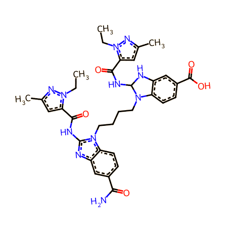 CCn1nc(C)cc1C(=O)Nc1nc2cc(C(N)=O)ccc2n1CCCCN1c2ccc(C(=O)O)cc2NC1NC(=O)c1cc(C)nn1CC